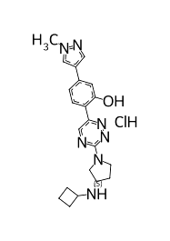 Cl.Cn1cc(-c2ccc(-c3cnc(N4CC[C@H](NC5CCC5)C4)nn3)c(O)c2)cn1